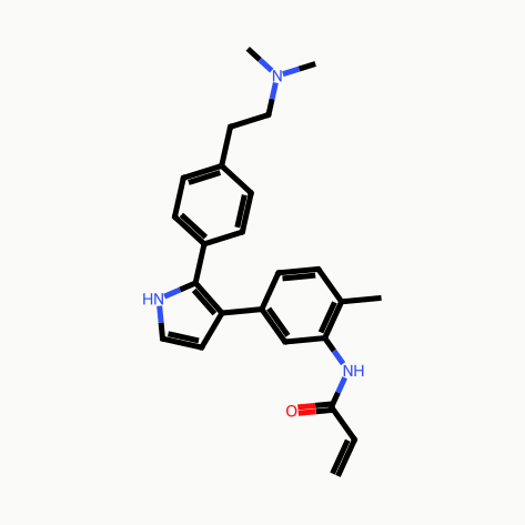 C=CC(=O)Nc1cc(-c2cc[nH]c2-c2ccc(CCN(C)C)cc2)ccc1C